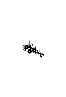 CCN(CC)CCC(=O)N(C)c1ccc(N/C(=C2\C(=O)Nc3cc(OC)c(OC)cc32)c2ccccc2)cc1